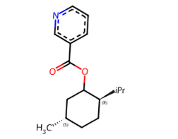 CC(C)[C@H]1CC[C@H](C)CC1OC(=O)c1cccnc1